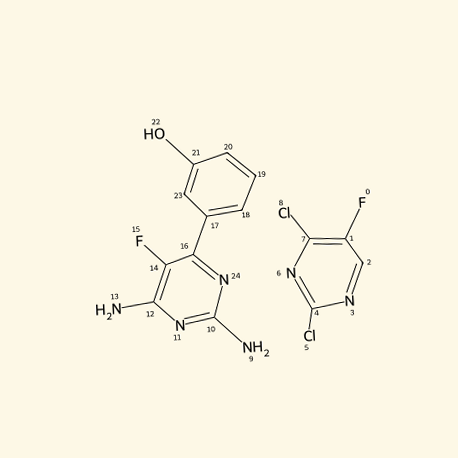 Fc1cnc(Cl)nc1Cl.Nc1nc(N)c(F)c(-c2cccc(O)c2)n1